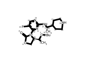 CC(OC(C)(C)C)[C@H]1COC(=O)N1c1nc(N[C@@H](C)C2CCNCC2)ncc1F